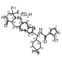 CCn1nccc1C(=O)NC(c1cn2nc(CC3CC(F)(F)CNC3=O)c(NC(=O)O)cc2n1)C1CCC(F)(F)CC1